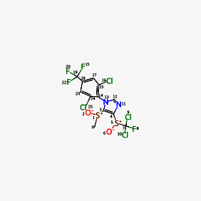 C[S+]([O-])c1c([S+]([O-])C(F)(Cl)Cl)ncn1-c1c(Cl)cc(C(F)(F)F)cc1Cl